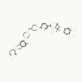 CC1(C)[C@H](NC(=O)c2ccc(N3CCC(CN4CCN(c5cc6c(cc5F)CN(C5CCC(=O)NC5=O)C6=O)CC4)CC3)nc2)C(C)(C)[C@H]1Oc1ccc(C#N)c(Cl)c1